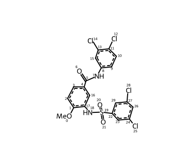 COc1ccc(C(=O)Nc2ccc(Cl)c(Cl)c2)cc1NS(=O)(=O)c1cc(Cl)cc(Cl)c1